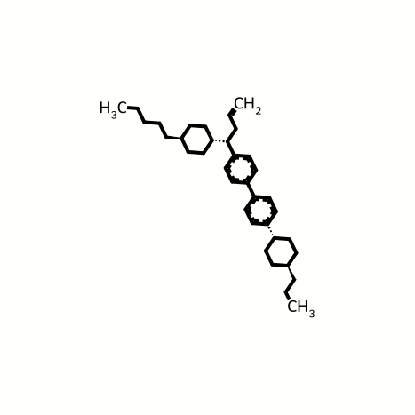 C=CCC(c1ccc(-c2ccc([C@H]3CC[C@H](CCC)CC3)cc2)cc1)[C@H]1CC[C@H](CCCCC)CC1